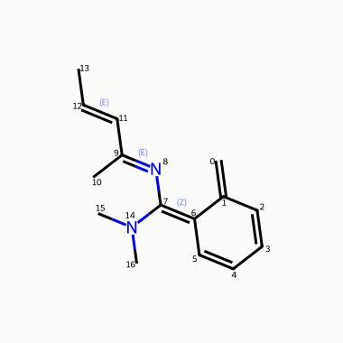 C=c1cccc/c1=C(/N=C(C)/C=C/C)N(C)C